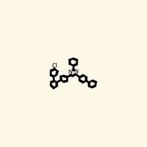 Clc1ccc(-c2ccccc2-c2ccc(-c3cc(-c4ccc(-c5ccccc5)cc4)nc(-c4ccccc4)n3)cc2)cc1